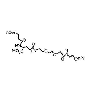 CCCCCCCCCCCCC(=O)N[C@@H](CCC(=O)NCCOCCOCC(=O)NCCOCCC)C(=O)O